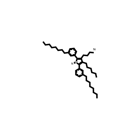 CCCCCCCCc1cccc(C2=C(CCCC)C(CCCCCC)=C(c3cccc(CCCCCCCC)c3)[N+]2=[N-])c1.[Ni]